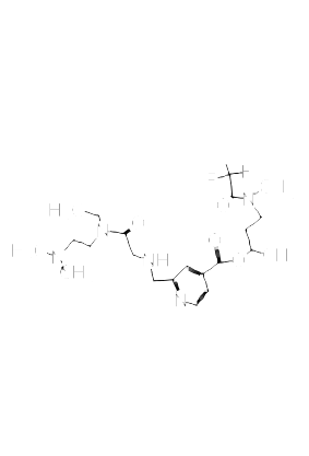 CCN(CCN(C)C)C(=O)CNCc1cc(C(=O)OC(C)CCN(C)C(=O)C(F)(F)F)ccn1